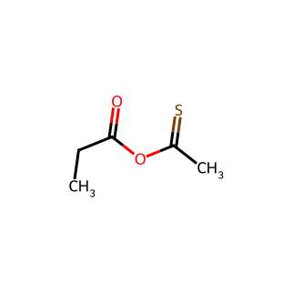 CCC(=O)OC(C)=S